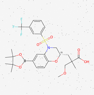 COCC(C)(C[C@H]1CN(S(=O)(=O)c2cccc(C(F)(F)F)c2)c2cc(B3OC(C)(C)C(C)(C)O3)ccc2O1)C(=O)O